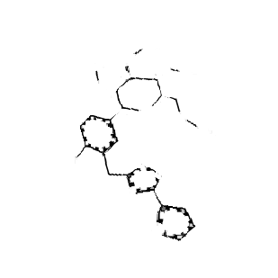 CCCCOC[C@H]1O[C@@H](c2ccc(Cl)c(Cc3nnc(-c4ccco4)s3)c2)[C@H](OCCCC)[C@@H](OCCCC)[C@@H]1OCCCC